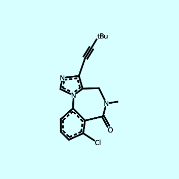 CN1Cc2c(C#CC(C)(C)C)ncn2-c2cccc(Cl)c2C1=O